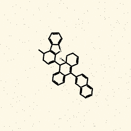 CC1CC=C(C2c3ccccc3C(c3ccc4ccccc4c3)=C3C=CCC[C@H]32)c2sc3ccccc3c21